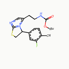 CC(C)(C)OC(=O)NCCc1cnc2n1C(c1ccc(C#N)c(F)c1)CS2